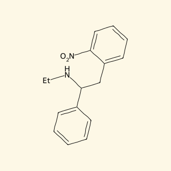 CCNC(Cc1ccccc1[N+](=O)[O-])c1ccccc1